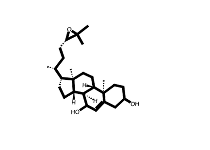 C[C@H](CC[C@@H]1OC1(C)C)[C@H]1CC[C@H]2[C@@H]3C(O)C=C4CC(O)CC[C@]4(C)[C@H]3CC[C@]12C